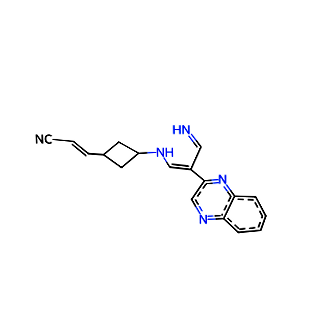 N#C/C=C/C1CC(N/C=C(\C=N)c2cnc3ccccc3n2)C1